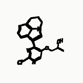 CC(O)COc1cnc(Cl)nc1-c1cn2c3c(cccc13)CCC2